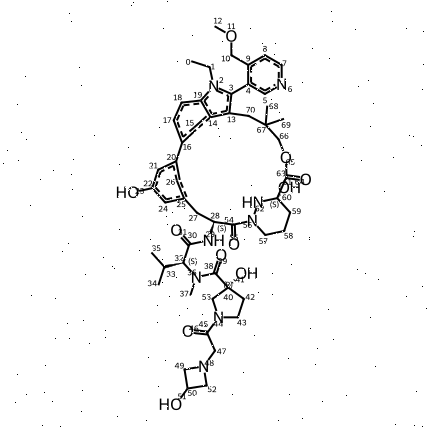 CCn1c(-c2cnccc2COC)c2c3cc(ccc31)-c1cc(O)cc(c1)C[C@H](NC(=O)[C@H](C(C)C)N(C)C(=O)[C@@]1(O)CCN(C(=O)CN3CC(O)C3)C1)C(=O)N1CCC[C@@](O)(N1)C(=O)OCC(C)(C)C2